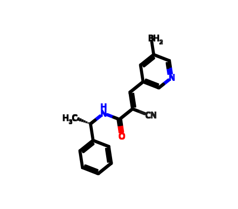 Bc1cncc(/C=C(\C#N)C(=O)N[C@@H](C)c2ccccc2)c1